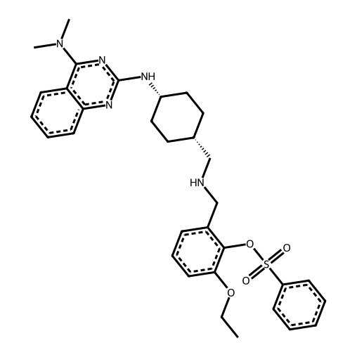 CCOc1cccc(CNC[C@H]2CC[C@@H](Nc3nc(N(C)C)c4ccccc4n3)CC2)c1OS(=O)(=O)c1ccccc1